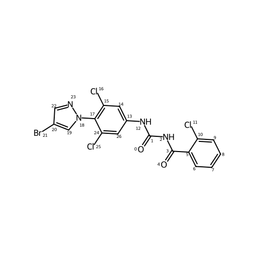 O=C(NC(=O)c1ccccc1Cl)Nc1cc(Cl)c(-n2cc(Br)cn2)c(Cl)c1